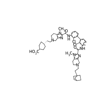 Cn1c(C(=O)Nc2cccc(-c3cccc(NC(=O)c4nc5c(n4C)CCN(CC[C@H]4CC[C@H](C(=O)O)CC4)C5)c3Cl)c2Cl)nc2c1CCN(CCC13CCC(CC1)C3)C2